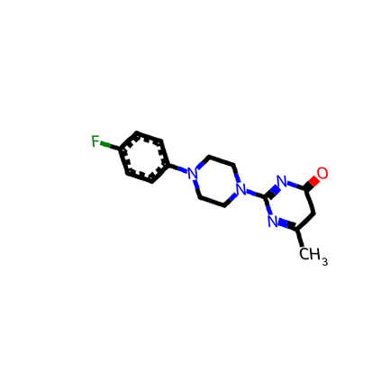 CC1=NC(N2CCN(c3ccc(F)cc3)CC2)=NC(=O)C1